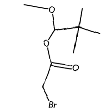 COC(OC(=O)CBr)C(C)(C)C